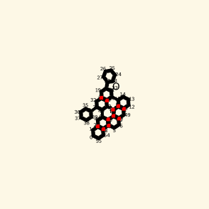 c1ccc(-c2cccc(N(c3ccccc3-c3cccc4c3oc3ccccc34)c3cccc(-c4ccccc4)c3-c3ccccc3-c3ccccc3)c2)cc1